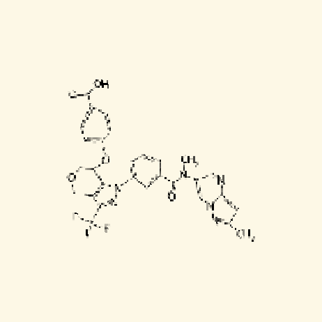 Cc1cc2ncc(N(C)C(=O)c3cccc(-n4nc(C(F)(F)F)c5c4C(Oc4ccc(C(=O)O)cc4)COC5)c3)cn2n1